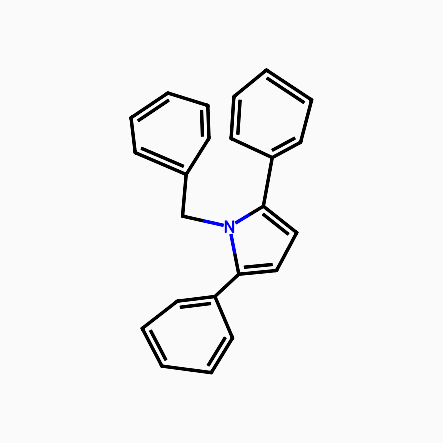 c1ccc(Cn2c(-c3ccccc3)ccc2-c2ccccc2)cc1